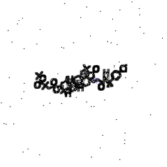 CC1C[C@H](OC(=O)CC(C)(C)C(=O)OC(C)(C)C)C(C)(C)[C@@H]2CC[C@]3(C)[C@H](CC[C@@H]4C5=C(C(C)(C)C)C(=O)C[C@]5(/C=C/C(=O)NC5(c6ccc(Cl)cc6)CC5)CC[C@H]43)[C@@H]12